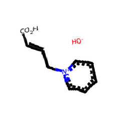 O=C(O)C=CC[n+]1ccccc1.[OH-]